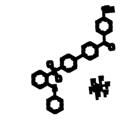 CC(C)(C)c1ccc(C(=O)c2ccc(-c3ccc(S(=O)(=O)c4ccccc4Sc4ccccc4)cc3)cc2)cc1.[F][Sb-]([F])([F])([F])([F])[F]